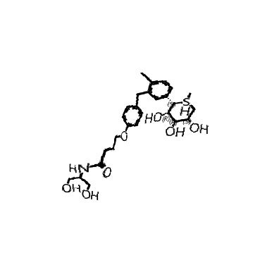 Cc1ccc([C@H]2[C@H](O)[C@H](O)[C@H](O)C[SH]2C)cc1Cc1ccc(OCCCC(=O)NC(CO)CO)cc1